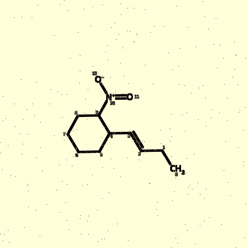 CCC=CC1CCCCC1[N+](=O)[O-]